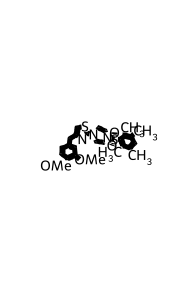 COc1ccc(Cc2csc(N3CCN(S(=O)(=O)c4c(C)c(C)cc(C)c4C)CC3)n2)cc1OC